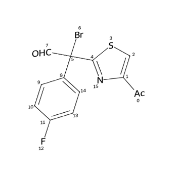 CC(=O)c1csc(C(Br)(C=O)c2ccc(F)cc2)n1